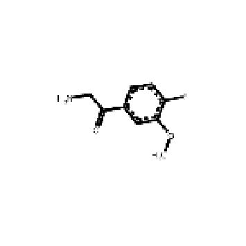 COc1cc(C(=O)CN)ccc1F